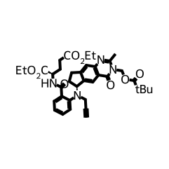 C#CCN(c1ccccc1C(=O)N[C@H](CCC(=O)OCC)C(=O)OCC)[C@@H]1CCc2cc3nc(C)n(COC(=O)C(C)(C)C)c(=O)c3cc21